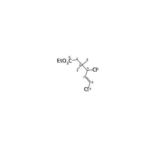 CCOC(=O)CC(C)(C)C(Cl)C=CCl